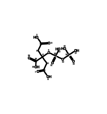 O=C(O)CC(CC(=O)O)(OP(=O)(O)OP(=O)(O)O)C(=O)O